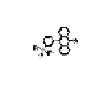 CC(C)P(=O)(c1cccc(-c2c3ccccc3c(Br)c3ccccc23)c1)C(C)C